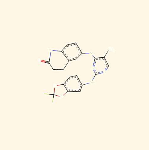 Cc1cnc(Nc2ccc3c(c2)OC(F)(F)O3)nc1Nc1ccc2c(c1)CCC(=O)N2